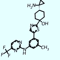 Cc1cc(Nc2nccc(C(F)(F)F)n2)cc(-c2cnc([C@]3(O)CC[C@H](C4(N)CC4)CC3)s2)c1